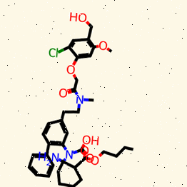 CCCCOC(=O)C1CCCCC1(N)N(C(=O)O)c1cc(CCN(C)C(=O)COc2cc(OC)c(CO)cc2Cl)ccc1-c1ccccc1